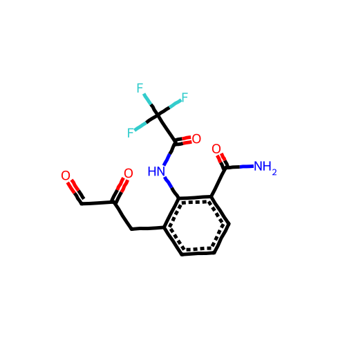 NC(=O)c1cccc(CC(=O)C=O)c1NC(=O)C(F)(F)F